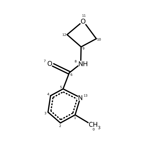 Cc1cccc(C(=O)NC2COC2)n1